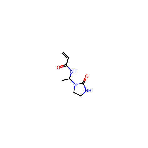 C=CC(=O)NC(C)N1CCNC1=O